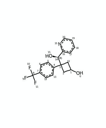 OC1CC(c2ccc(C(F)(F)F)cc2)([C@@H](O)c2ccccn2)C1